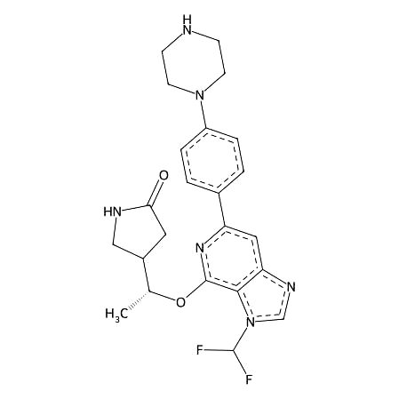 C[C@@H](Oc1nc(-c2ccc(N3CCNCC3)cc2)cc2ncn(C(F)F)c12)C1CNC(=O)C1